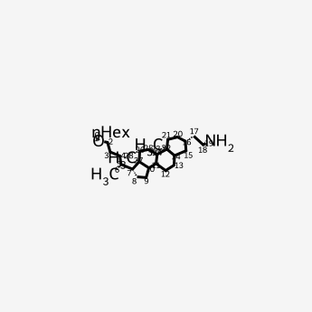 CCCCCCOCCC[C@@H](C)[C@H]1CCC2C3CCC4C[C@@H](CCN)CC[C@]4(C)C3CC[C@@]21C